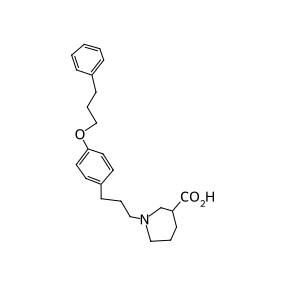 O=C(O)C1CCCN(CCCc2ccc(OCCCc3ccccc3)cc2)C1